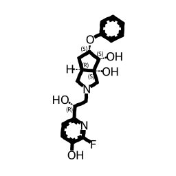 Oc1ccc([C@H](O)CN2C[C@H]3C[C@H](Oc4ccccc4)[C@H](O)[C@@]3(O)C2)nc1F